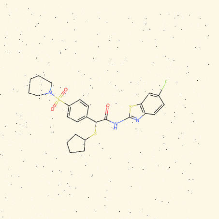 O=C(Nc1nc2ccc(F)cc2s1)C(SC1CCCC1)c1ccc(S(=O)(=O)N2CCCCC2)cc1